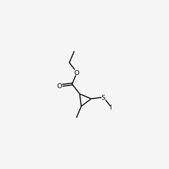 CCOC(=O)C1C(C)C1SI